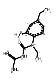 CCc1ccc(N(CC)C(=O)NC(=N)N)c(C)c1